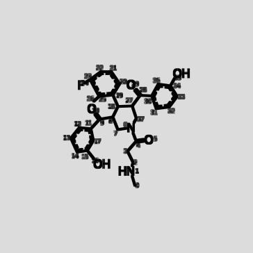 CNCCC(=O)N1CC(C(=O)c2cccc(O)c2)C(c2cccc(F)c2C)C(C(=O)c2cccc(O)c2)C1